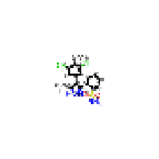 COc1c(Cl)cc(-c2c(-c3ccccc3S(N)(=O)=O)n[nH]c2C(F)(F)F)cc1Cl